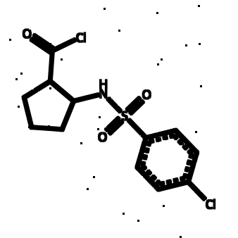 O=C(Cl)C1CCCC1NS(=O)(=O)c1ccc(Cl)cc1